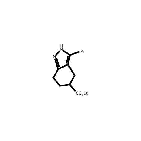 CCOC(=O)C1CCc2n[nH]c(C(C)C)c2C1